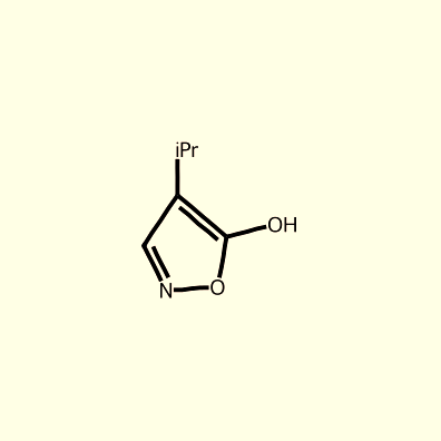 CC(C)c1cnoc1O